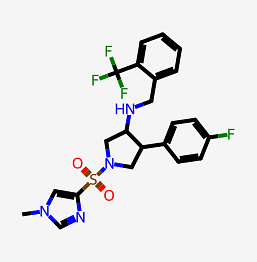 Cn1cnc(S(=O)(=O)N2CC(NCc3ccccc3C(F)(F)F)C(c3ccc(F)cc3)C2)c1